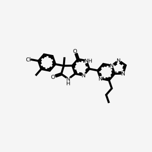 CCCc1nc(-c2nc3c(c(=O)[nH]2)C(C)(c2ccc(Cl)c(C)c2)C(=O)N3)cn2ncnc12